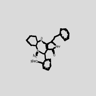 COc1ccccc1C1C2=C(NC3CCCCC3N1C(C)=O)C(Cc1ccccc1)NC2=O